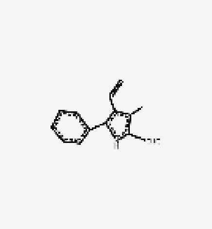 C=Cc1c(-c2ccccc2)[nH]c(C=O)c1C